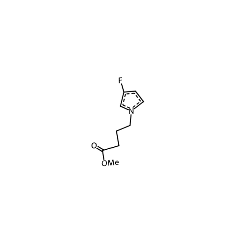 COC(=O)CCCn1ccc(F)c1